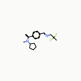 C=C(c1ccc(/C=N/CC(C)(F)F)cc1)N(C)C1CCCC1